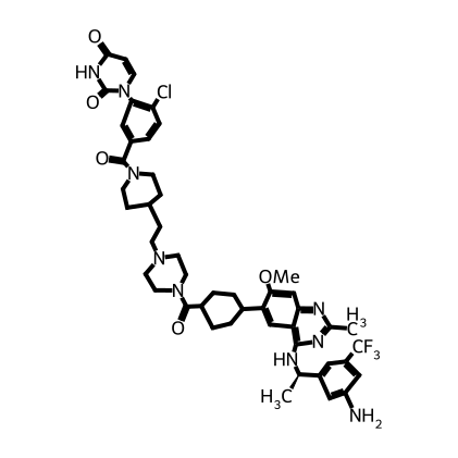 COc1cc2nc(C)nc(N[C@H](C)c3cc(N)cc(C(F)(F)F)c3)c2cc1C1CCC(C(=O)N2CCN(CCC3CCN(C(=O)c4ccc(Cl)c(-n5ccc(=O)[nH]c5=O)c4)CC3)CC2)CC1